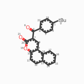 CC(C)(C)c1ccc(C(=O)c2cc3c(ccc4ccccc43)oc2=O)cc1